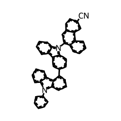 N#Cc1ccc2cc(-n3c4ccccc4c4cc(-c5cccc6c5c5ccccc5n6-c5ccccc5)ccc43)c3ccccc3c2c1